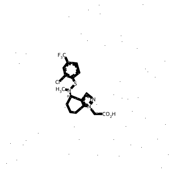 CN(Sc1ccc(C(F)(F)F)cc1Cl)[C@@H]1CCCc2c1cnn2CC(=O)O